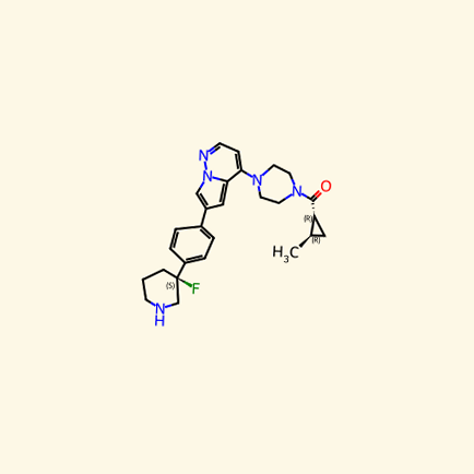 C[C@@H]1C[C@H]1C(=O)N1CCN(c2ccnn3cc(-c4ccc([C@@]5(F)CCCNC5)cc4)cc23)CC1